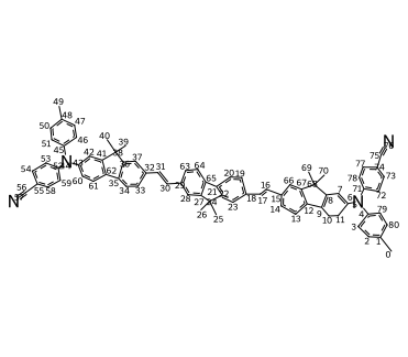 Cc1ccc(N(C2=CC3=C(CC2)c2ccc(/C=C/c4ccc5c(c4)C(C)(C)c4cc(/C=C/c6ccc7c(c6)C(C)(C)c6cc(N(c8ccc(C)cc8)c8ccc(C#N)cc8)ccc6-7)ccc4-5)cc2C3(C)C)c2ccc(C#N)cc2)cc1